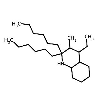 CCCCCCC1(CCCCCC)NC2CCCCC2C(CC)C1C